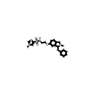 CN1Cc2ccc(OCCNS(=O)(=O)c3cn(C)cn3)cc2C1Cc1ccccc1